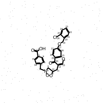 O=C(O)c1ccc(CN2CC(Cc3coc4cc(OCc5ccccc5Cl)ccc4c3=O)OO2)cc1